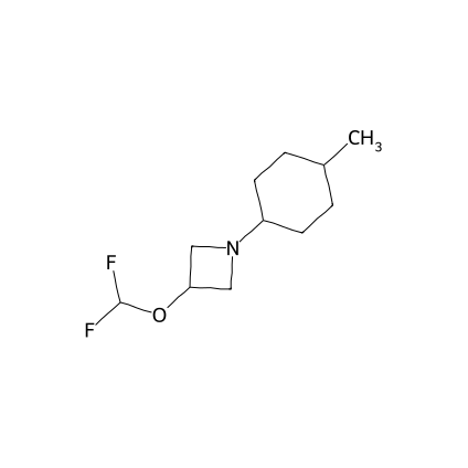 CC1CCC(N2CC(OC(F)F)C2)CC1